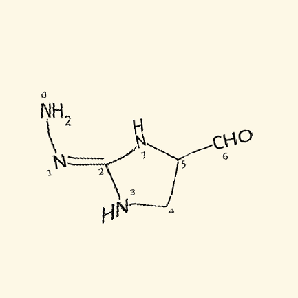 NN=C1NCC(C=O)N1